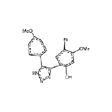 CCc1cc(-c2nn[nH]c2-c2ccc(OC)cc2)c(O)cc1OC